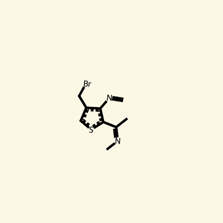 C=Nc1c(CBr)csc1/C(C)=N\C